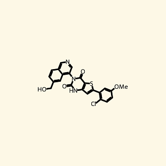 COc1ccc(Cl)c(-c2cc3[nH]c(=O)n(-c4cncc5ccc(CO)cc45)c(=O)c3s2)c1